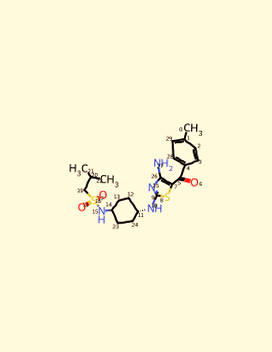 Cc1ccc(C(=O)c2sc(N[C@H]3CC[C@H](NS(=O)(=O)CC(C)C)CC3)nc2N)cc1